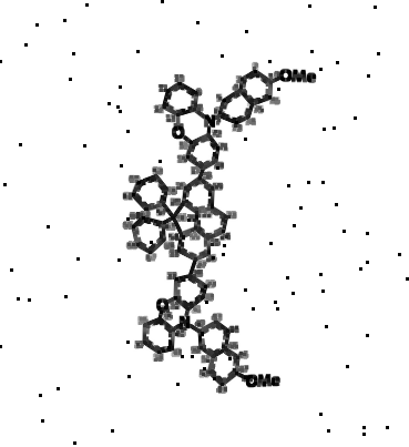 COc1ccc2cc(N3c4ccccc4Oc4cc(-c5cc6c7c(ccc8cc(-c9ccc%10c(c9)Oc9ccccc9N%10c9ccc%10cc(OC)ccc%10c9)cc(c87)C6(c6ccccc6)c6ccccc6)c5)ccc43)ccc2c1